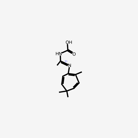 CC1=C(/N=C(\C)NC(=O)O)C=CC(C)(C)C=C1